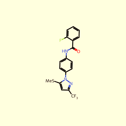 CSc1cc(C(F)(F)F)nn1-c1ccc(NC(=O)c2ccccc2F)cc1